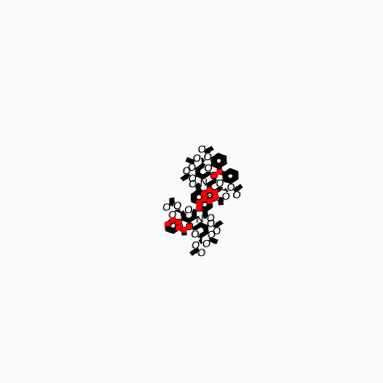 CC(=O)OC[C@H]1O[C@H](OCc2ccccc2)[C@@H](N(C(=O)c2ccc3cc(C(=O)N([C@@H]4[C@@H](OCc5ccccc5)O[C@H](COC(C)=O)[C@@H](OC(C)=O)[C@@H]4OC(C)=O)[C@@H]4[C@@H](OCc5ccccc5)O[C@H](COC(C)=O)[C@@H](OC(C)=O)[C@@H]4OC(C)=O)ccc3c2)[C@@H]2[C@@H](OCc3ccccc3)O[C@H](COC(C)=O)[C@@H](OC(C)=O)[C@@H]2OC(C)=O)[C@@H](OC(C)=O)[C@@H]1OC(C)=O